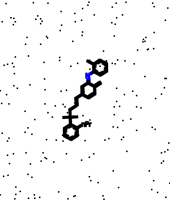 C=C1C=CC(/C=C/CC(C)(C)c2ccccc2CCC)=CC/1=N/c1ccccc1C